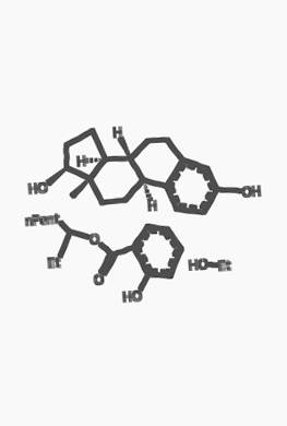 CCCCCC(CC)OC(=O)c1ccccc1O.CCO.C[C@]12CC[C@@H]3c4ccc(O)cc4CC[C@H]3[C@@H]1CC[C@@H]2O